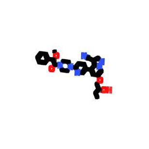 CC[C@@H](O)COc1cc(-c2ccc(N3CCN(C(=O)[C@H](OC)c4ccccc4)CC3)nc2)c2c(C#N)cnn2c1